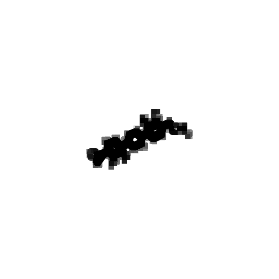 C=Cc1ccc(C2CCC(c3ccc(C4CO4)c(F)c3F)CC2)c(F)c1F